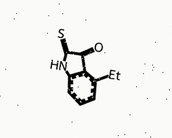 CCc1cccc2c1C(=O)C(=S)N2